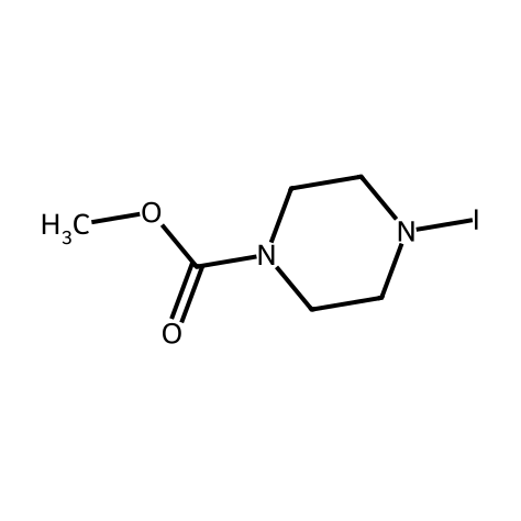 COC(=O)N1CCN(I)CC1